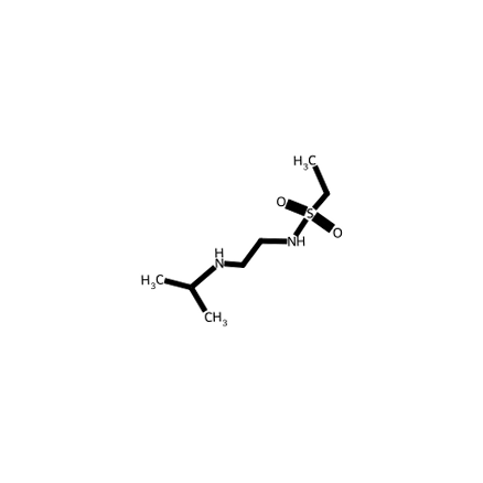 CCS(=O)(=O)NCCNC(C)C